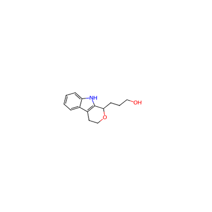 OCCCC1OCCc2c1[nH]c1ccccc21